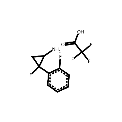 NC1CC1(F)c1ccccc1F.O=C(O)C(F)(F)F